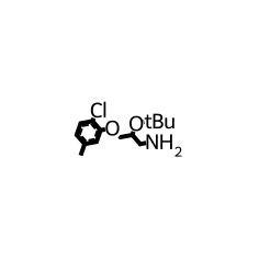 Cc1ccc(Cl)c(OCC(CN)OC(C)(C)C)c1